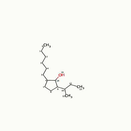 CCCCCCC1CCC(C(C)CC)C1O